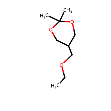 CCOCC1COC(C)(C)OC1